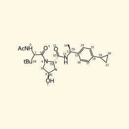 CC(=O)NC(C(=O)N1C[C@H](O)C[C@H]1C(=O)N[C@@H](C)c1ccc(C2CC2)cc1)C(C)(C)C